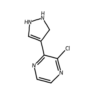 Clc1nccnc1C1=CNNC1